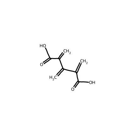 C=C(C(=C)C(=O)O)C(=C)C(=O)O